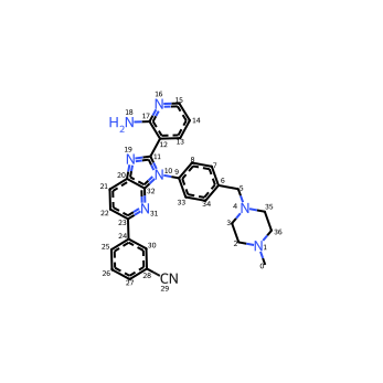 CN1CCN(Cc2ccc(-n3c(-c4cccnc4N)nc4ccc(-c5cccc(C#N)c5)nc43)cc2)CC1